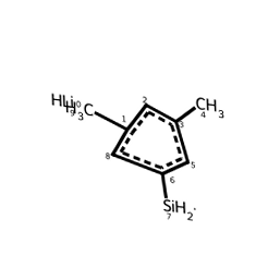 Cc1cc(C)cc([SiH2])c1.[LiH]